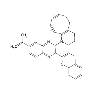 C=C(C)c1ccc2nc(C3=CCc4ccccc4O3)c(N3CCCC4=C3/C=C\C=C/CC4)nc2c1